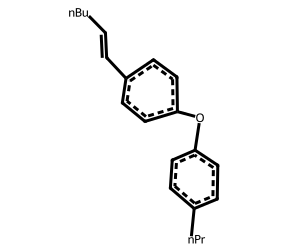 CCCC/C=C/c1ccc(Oc2ccc(CCC)cc2)cc1